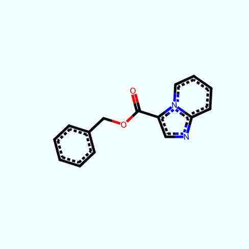 O=C(OCc1ccccc1)c1cnc2ccccn12